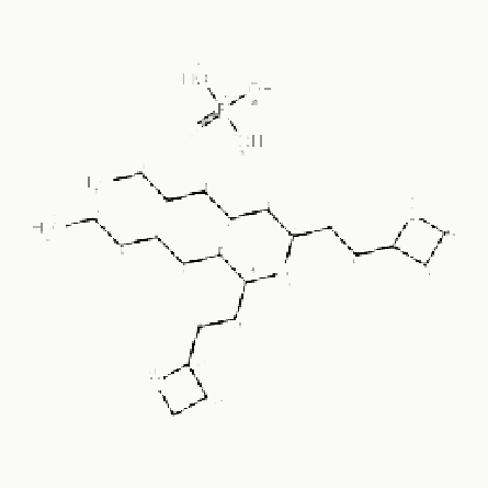 CCCCCCC(CCC1CCO1)OC(CCCCCC)CCC1CCO1.O=P(O)(O)O